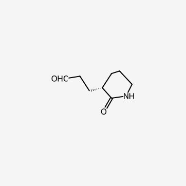 O=CCC[C@@H]1CCCNC1=O